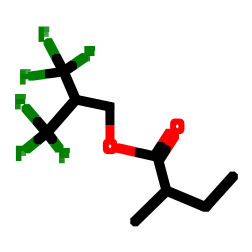 CCC(C)C(=O)OCC(C(F)(F)F)C(F)(F)F